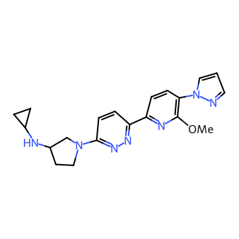 COc1nc(-c2ccc(N3CCC(NC4CC4)C3)nn2)ccc1-n1cccn1